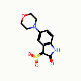 O=C1Nc2ccc(N3CCOCC3)cc2C1=S(=O)=O